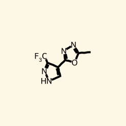 Cc1nnc(-c2c[nH]nc2C(F)(F)F)o1